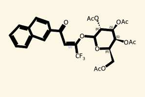 CC(=O)OC[C@H]1OC(O/C(=C\C(=O)c2ccc3ccccc3c2)C(F)(F)F)[C@H](OC(C)=O)[C@@H](OC(C)=O)[C@H]1OC(C)=O